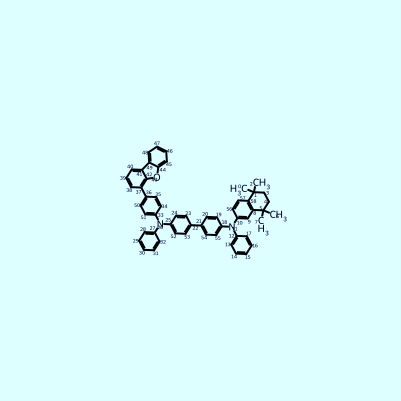 CC1(C)CCC(C)(C)c2cc(N(c3ccccc3)c3ccc(-c4ccc(N(c5ccccc5)c5ccc(-c6cccc7c6oc6ccccc67)cc5)cc4)cc3)ccc21